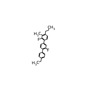 CCCc1ccc(-c2ccc(-c3ccc(CC)cc3)c(F)c2)c(F)c1C